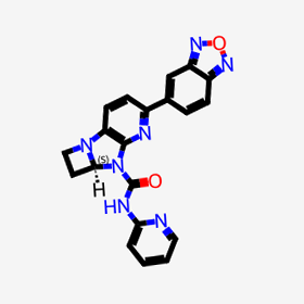 O=C(Nc1ccccn1)N1c2nc(-c3ccc4nonc4c3)ccc2N2CC[C@@H]21